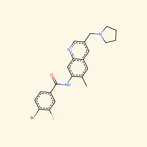 Cc1cc2cc(CN3CCCC3)cnc2cc1NC(=O)c1ccc(Br)c(F)c1